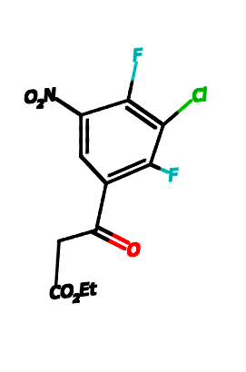 CCOC(=O)CC(=O)c1cc([N+](=O)[O-])c(F)c(Cl)c1F